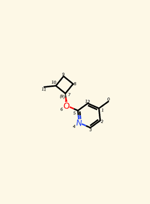 Cc1ccnc(O[C@@H]2CCC2C)c1